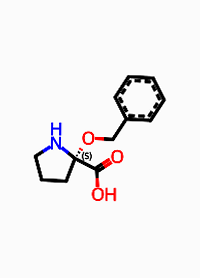 O=C(O)[C@@]1(OCc2ccccc2)CCCN1